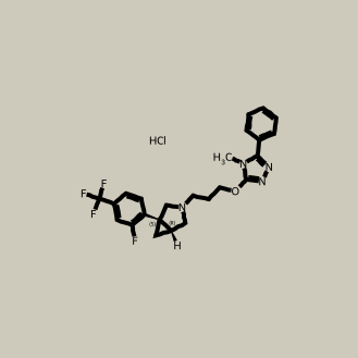 Cl.Cn1c(OCCCN2C[C@@H]3C[C@]3(c3ccc(C(F)(F)F)cc3F)C2)nnc1-c1ccccc1